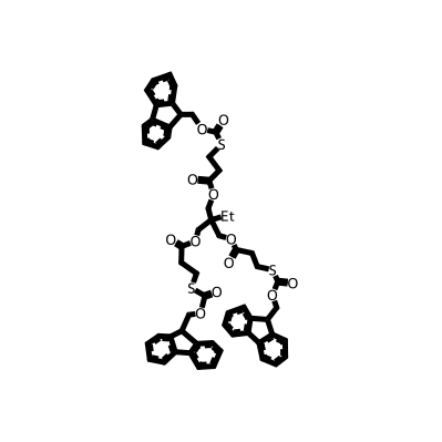 CCC(COC(=O)CCSC(=O)OCC1c2ccccc2-c2ccccc21)(COC(=O)CCSC(=O)OCC1c2ccccc2-c2ccccc21)COC(=O)CCSC(=O)OCC1c2ccccc2-c2ccccc21